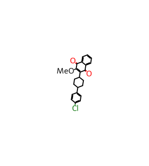 COC1=C(C2CCC(c3ccc(Cl)cc3)CC2)C(=O)c2ccccc2C1=O